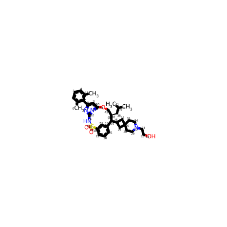 Cc1cccc(C)c1-c1cc2nc(n1)NS(=O)(=O)c1cccc(c1)C(C1CC3(CCN(CCO)CC3)C1)[C@H](CC(C)C)CO2